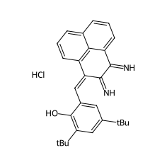 CC(C)(C)c1cc(C=c2c(=N)c(=N)c3cccc4cccc2c43)c(O)c(C(C)(C)C)c1.Cl